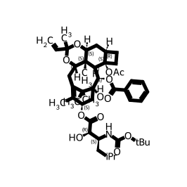 C=CC1(C)O[C@H]2CC3=C(C)[C@@H](OC(=O)[C@H](O)[C@H](CC(C)C)NC(=O)OC(C)(C)C)C[C@@](O)([C@@H](OC(=O)c4ccccc4)[C@@H]4[C@]5(OC(C)=O)CC[C@@H]5C[C@H](O1)[C@@]24C)C3(C)C